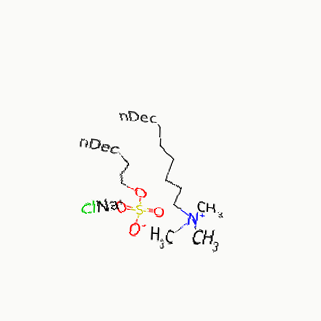 CCCCCCCCCCCCCCCC[N+](C)(C)C.CCCCCCCCCCCCOS(=O)(=O)[O-].[Cl-].[Na+]